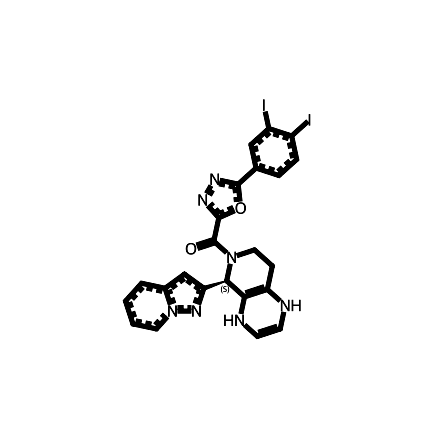 O=C(c1nnc(-c2ccc(I)c(I)c2)o1)N1CCC2=C(NC=CN2)[C@H]1c1cc2ccccn2n1